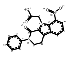 O=C(O)Cn1c2c(c3cccc([N+](=O)[O-])c31)CCN(c1ccccc1)C2=O